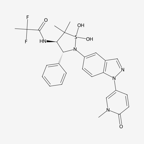 Cn1cc(-n2ncc3cc(N4[C@H](c5ccccc5)[C@@H](NC(=O)C(C)(F)F)C(C)(C)S4(O)O)ccc32)ccc1=O